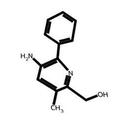 Cc1cc(N)c(-c2ccccc2)nc1CO